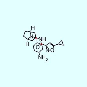 N[C@H]1CC[C@H](CN2[C@@H]3CC[C@H]2C[C@@H](NC(=O)c2cc(C4CC4)on2)C3)CC1